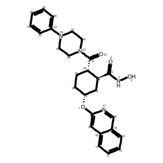 O=C(NO)[C@H]1C[C@H](Oc2cc3ccccc3cn2)CC[C@@H]1C(=O)N1CCN(c2ccccc2)CC1